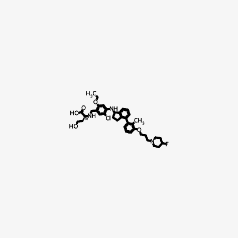 CCOc1cc(NC2CCc3c(-c4cccc(OCCCN5CCC(F)CC5)c4C)cccc32)c(Cl)cc1CN[C@@H](CCO)C(=O)O